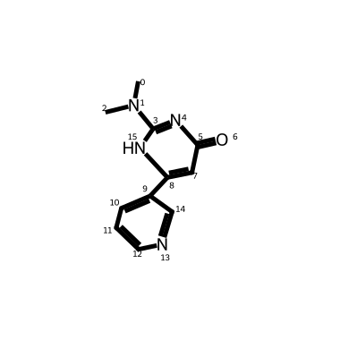 CN(C)c1nc(=O)cc(-c2cccnc2)[nH]1